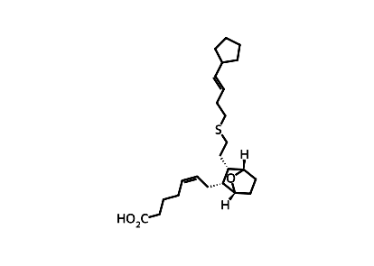 O=C(O)CCC/C=C\C[C@@H]1[C@H](CCSCCC=CC2CCCC2)[C@@H]2CC[C@H]1O2